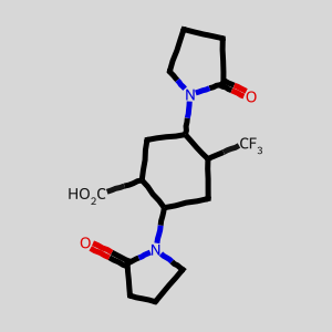 O=C(O)C1CC(N2CCCC2=O)C(C(F)(F)F)CC1N1CCCC1=O